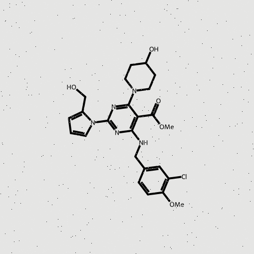 COC(=O)c1c(NCc2ccc(OC)c(Cl)c2)nc(-n2cccc2CO)nc1N1CCC(O)CC1